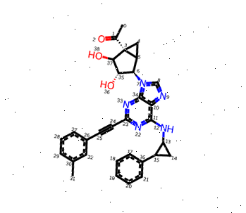 CC(=O)[C@]12CC1[C@@H](n1cnc3c(NC4CC4c4ccccc4)nc(C#Cc4cccc(C)c4)nc31)[C@H](O)C2O